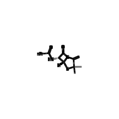 C=C1N2C(=O)[C@@H](NC(=O)CCC)[C@H]2SC1(C)C